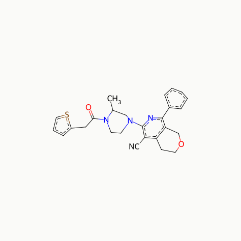 CC1CN(c2nc(-c3ccccc3)c3c(c2C#N)CCOC3)CCN1C(=O)Cc1cccs1